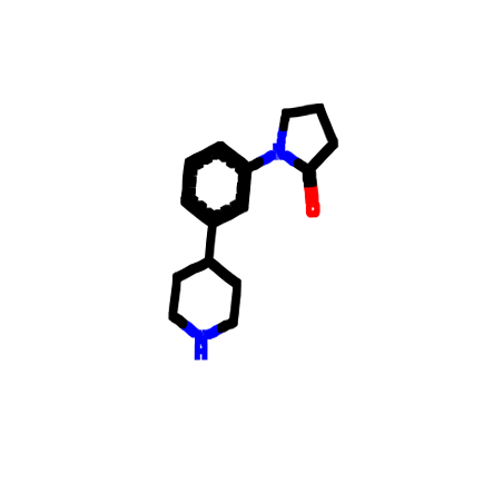 O=C1CCCN1c1cccc(C2CCNCC2)c1